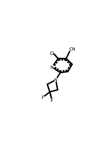 N#Cc1ccc(N2CC(F)(F)C2)nc1Cl